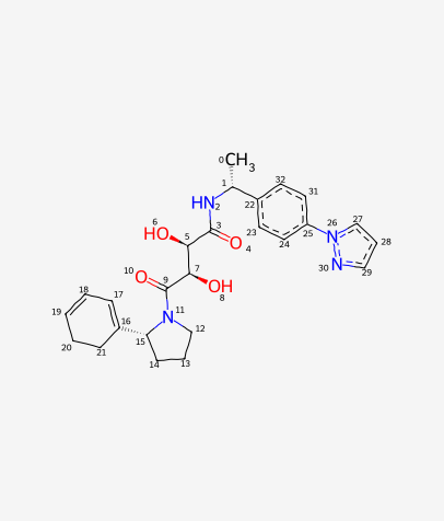 C[C@@H](NC(=O)[C@H](O)[C@@H](O)C(=O)N1CCC[C@@H]1C1=CC=CCC1)c1ccc(-n2cccn2)cc1